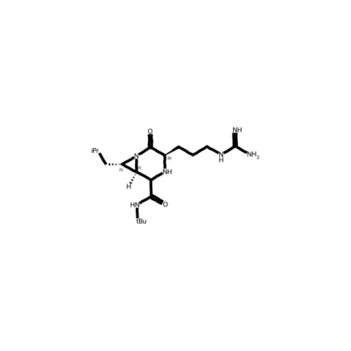 CC(C)C[C@H]1[C@@H]2C(C(=O)NC(C)(C)C)N[C@H](CCCNC(=N)N)C(=O)N12